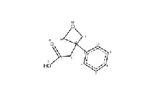 O=C(O)CC1(c2ccccc2)COC1